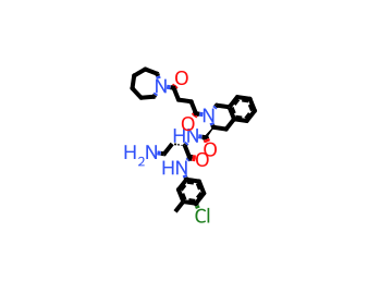 Cc1cc(NC(=O)[C@H](CCN)NC(=O)[C@@H]2Cc3ccccc3CN2C(=O)CCC(=O)N2CCCCCC2)ccc1Cl